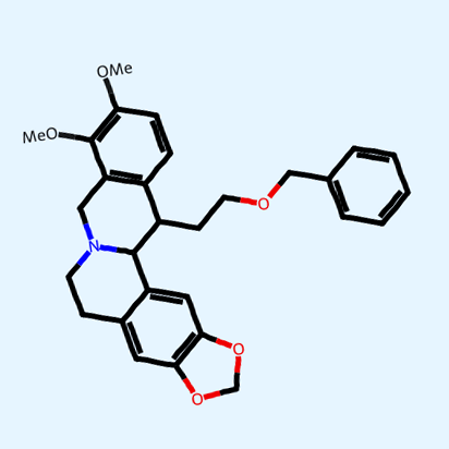 COc1ccc2c(c1OC)CN1CCc3cc4c(cc3C1C2CCOCc1ccccc1)OCO4